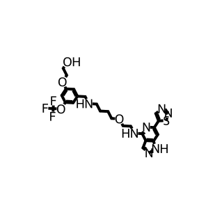 OCCOc1cc(CNCCCCOCCNc2nc(-c3cnns3)cc3[nH]ncc23)cc(OC(F)(F)F)c1